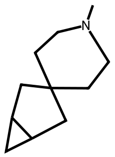 CN1CCC2(CC1)CC1CC1C2